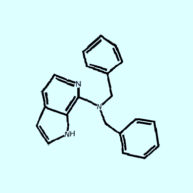 [c]1cc2ccnc(N(Cc3ccccc3)Cc3ccccc3)c2[nH]1